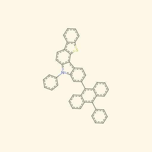 c1ccc(-c2c3ccccc3c(-c3ccc4c5c6sc7ccccc7c6ccc5n(-c5ccccc5)c4c3)c3ccccc23)cc1